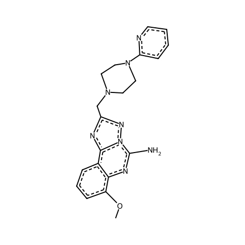 COc1cccc2c1nc(N)n1nc(CN3CCN(c4ccccn4)CC3)nc21